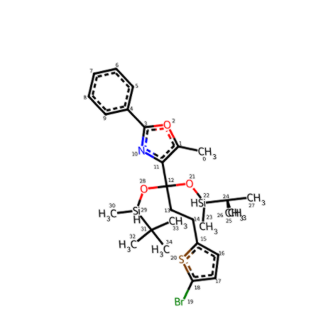 Cc1oc(-c2ccccc2)nc1C(CCc1ccc(Br)s1)(O[SiH](C)C(C)(C)C)O[SiH](C)C(C)(C)C